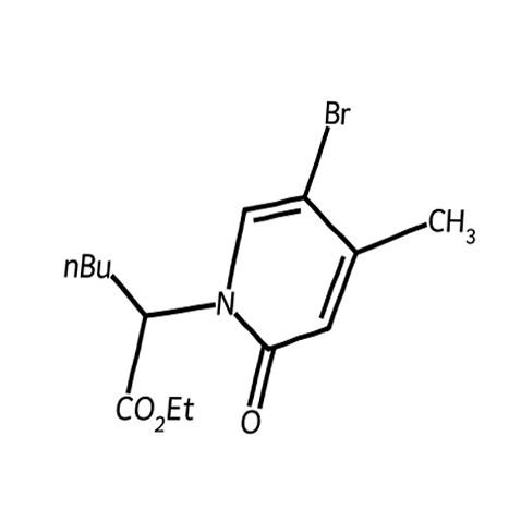 CCCCC(C(=O)OCC)n1cc(Br)c(C)cc1=O